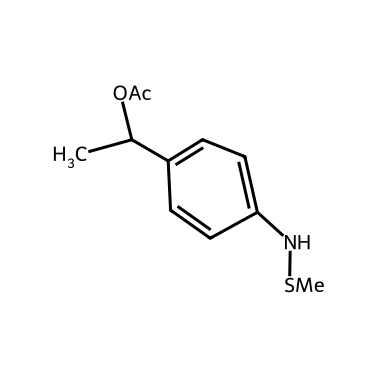 CSNc1ccc(C(C)OC(C)=O)cc1